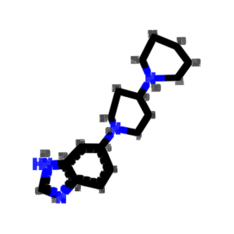 [c]1nc2ccc(N3CCC(N4CCCCC4)CC3)cc2[nH]1